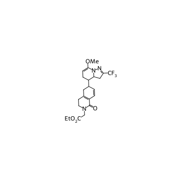 CCOC(=O)CN1CCC2=C(C=CC(C3CC=C(OC)N4N=C(C(F)(F)F)CC34)C2)C1=O